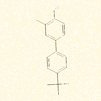 CC(C)(C)c1ccc(-c2ccc(S)c(Cl)c2)cc1